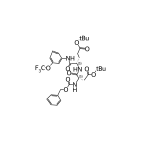 CC(C)(C)OC(=O)CC[C@H](NC(=O)[C@H](CC(=O)OC(C)(C)C)NC(=O)OCc1ccccc1)C(=O)Nc1cccc(OC(F)(F)F)c1